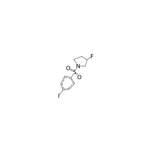 O=S(=O)(c1ccc(I)cc1)N1CCC(F)C1